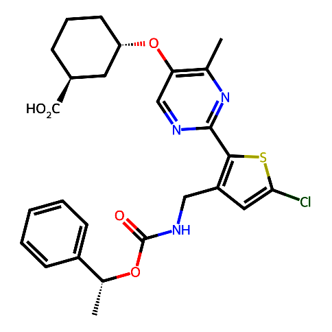 Cc1nc(-c2sc(Cl)cc2CNC(=O)O[C@H](C)c2ccccc2)ncc1O[C@H]1CCC[C@H](C(=O)O)C1